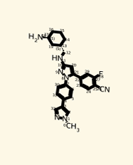 Cn1cc(-c2ccc(-n3nc(NC[C@H]4CCC[C@H](N)C4)cc3-c3ccc(C#N)c(F)c3)cc2)cn1